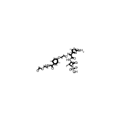 C[C@H]1[C@H](NC(=O)C(=NOCCOc2ccc(C(=O)NCCOC=O)cc2)c2csc(N)n2)C(=O)N1S(=O)(=O)O